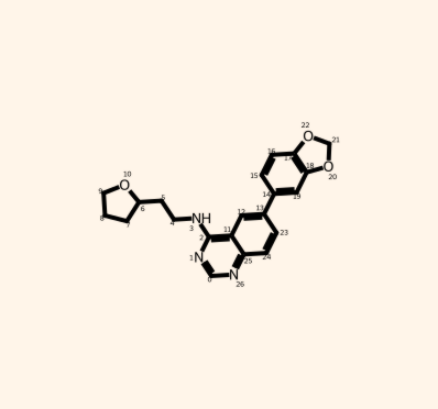 c1nc(NCCC2CCCO2)c2cc(-c3ccc4c(c3)OCO4)ccc2n1